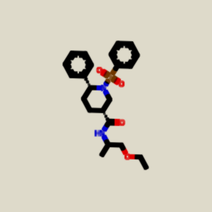 CCOCC(C)NC(=O)[C@@H]1CC[C@H](c2ccccc2)N(S(=O)(=O)c2ccccc2)C1